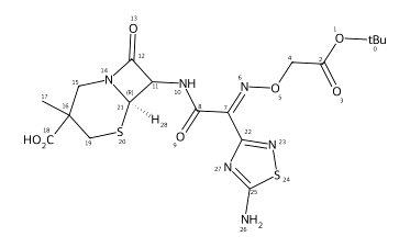 CC(C)(C)OC(=O)CON=C(C(=O)NC1C(=O)N2CC(C)(C(=O)O)CS[C@H]12)c1nsc(N)n1